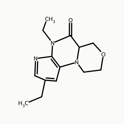 CCc1cnc2c(c1)N1CCOCC1C(=O)N2CC